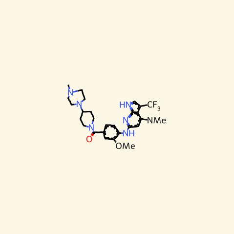 CNc1cc(Nc2ccc(C(=O)N3CCC(N4CCN(C)CC4)CC3)cc2OC)nc2[nH]cc(C(F)(F)F)c12